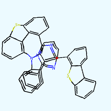 c1ccc(-c2nc(-c3cccc4c3sc3ccccc34)nc(-c3cccc4sc5cccc(-n6c7ccccc7c7ccccc76)c5c34)n2)cc1